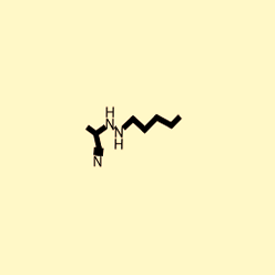 CCCCCNNC(C)C#N